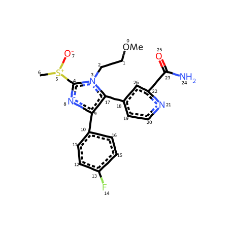 COCCn1c([S+](C)[O-])nc(-c2ccc(F)cc2)c1-c1ccnc(C(N)=O)c1